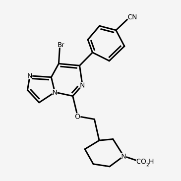 N#Cc1ccc(-c2nc(OCC3CCCN(C(=O)O)C3)n3ccnc3c2Br)cc1